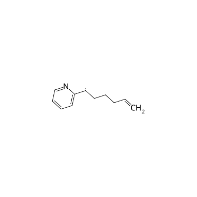 C=CCCC[CH]c1ccccn1